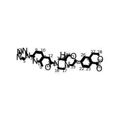 Cc1nc(-n2cnnn2)ccc1CC(=O)N1CCN2C[C@@H](c3ccc4c(c3)CCOC4=O)OC[C@@H]2C1